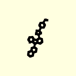 CC(C)(C)c1ccc(-c2nc(-c3cccc4c3c3cccnc3n4-c3ccc4ccccc4c3)ns2)cc1